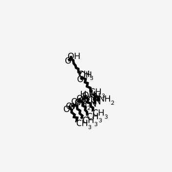 CCCCCCCC(=O)O.CCCCCCCC(=O)O.CCCCCCCC(=O)O.CCCCCCCC(=O)O.CCCCCCCC(=O)O.CCCCCCCC(=O)O.Nc1nc(N)nc(N)n1